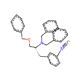 [C-]#[N+]c1cccc(C[C@H](COCc2ccccc2)N(Cc2ccccc2)Cc2ccccc2)c1